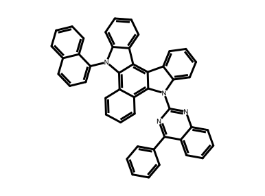 c1ccc(-c2nc(-n3c4ccccc4c4c5c6ccccc6n(-c6cccc7ccccc67)c5c5ccccc5c43)nc3ccccc23)cc1